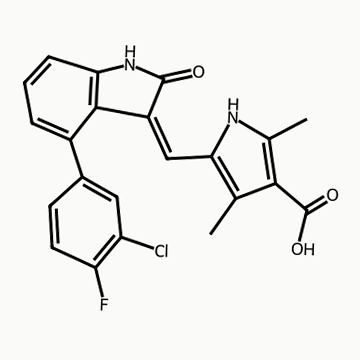 Cc1[nH]c(C=C2C(=O)Nc3cccc(-c4ccc(F)c(Cl)c4)c32)c(C)c1C(=O)O